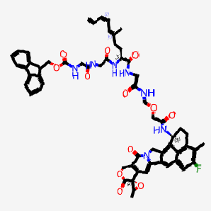 C=C/C=C\C=C(/C)CC[C@H](NC(=O)CNC(=O)CNC(=O)OCC1c2ccccc2-c2ccccc21)C(=O)NCC(=O)NCOCC(=O)N[C@H]1CCc2c(C)c(F)cc3cc4c(c1c23)Cn1c-4cc2c(c1=O)COC(=O)[C@@]21OC1C